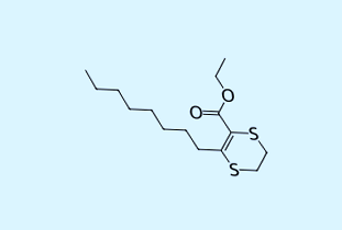 CCCCCCCCC1=C(C(=O)OCC)SCCS1